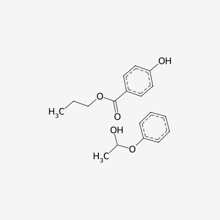 CC(O)Oc1ccccc1.CCCOC(=O)c1ccc(O)cc1